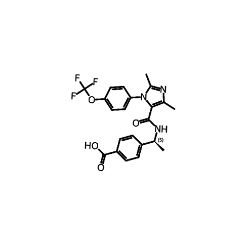 Cc1nc(C)n(-c2ccc(OC(F)(F)F)cc2)c1C(=O)N[C@@H](C)c1ccc(C(=O)O)cc1